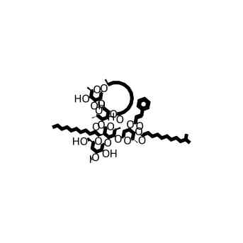 CCCCCCCCCC(=O)C[C@H]1[C@H](O[C@@H]2C[C@@H]3OC(=O)CCCCCCCCC[C@H](C)OC4O[C@H](C)[C@H](O)[C@H](O)C4OC3O[C@H]2C)O[C@@H](C)[C@H](O[C@H]2C[C@H](OC(=O)/C=C/c3ccccc3)[C@@H](OC(=O)CCCCCCCCC(C)C)[C@H](C)O2)[C@H]1O[C@@H]1O[C@H](CO)C[C@H](OI)[C@@H]1O